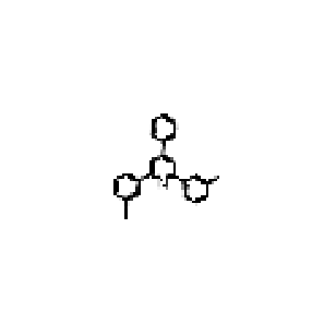 Ic1cccc(-c2cc(-c3ccccc3)cc(-c3cccc(I)c3)n2)c1